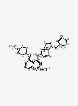 CN1CCC(Oc2cccc3ncnc(Nc4ccc5c(ccn5Cc5ccccc5)c4)c23)CC1.Cl